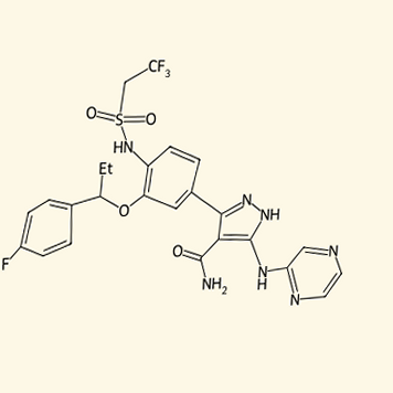 CCC(Oc1cc(-c2n[nH]c(Nc3cnccn3)c2C(N)=O)ccc1NS(=O)(=O)CC(F)(F)F)c1ccc(F)cc1